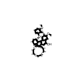 COc1cc2c(O)cc3c(c2cc1Sc1c(OC)cccc1OC)-c1ccccc1C31CCCCCCCCCCC1